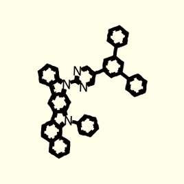 c1ccc(-c2cc(-c3ccccc3)cc(-c3cnc(-n4c5ccccc5c5cc6c7ccc8ccccc8c7n(-c7ccccc7)c6cc54)nc3)c2)cc1